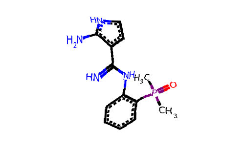 CP(C)(=O)c1ccccc1NC(=N)c1cc[nH]c1N